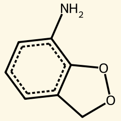 Nc1cccc2c1OOC2